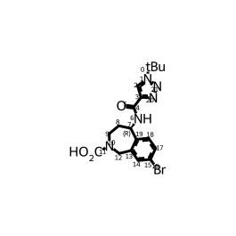 CC(C)(C)n1cc(C(=O)N[C@@H]2CCN(C(=O)O)Cc3cc(Br)ccc32)nn1